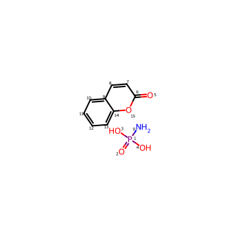 NP(=O)(O)O.O=c1ccc2ccccc2o1